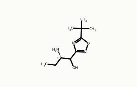 CC[C@H](N)C(O)c1noc(C(C)(C)C)n1